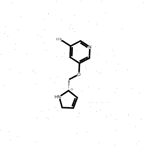 [123I]c1cncc(OC[C@@H]2C=CCN2)c1